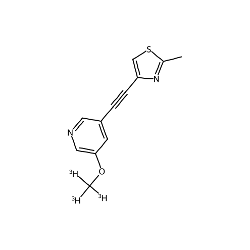 [3H]C([3H])([3H])Oc1cncc(C#Cc2csc(C)n2)c1